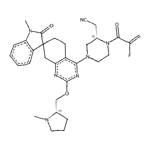 C=C(F)C(=O)N1CCN(c2nc(OC[C@@H]3CCCN3C)nc3c2CCC2(C3)C(=O)N(C)c3ccccc32)C[C@@H]1CC#N